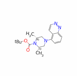 C[C@@H]1CN(c2cccc3nnccc23)C[C@H](C)N1C(=O)OC(C)(C)C